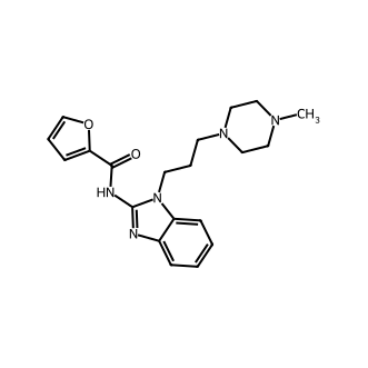 CN1CCN(CCCn2c(NC(=O)c3ccco3)nc3ccccc32)CC1